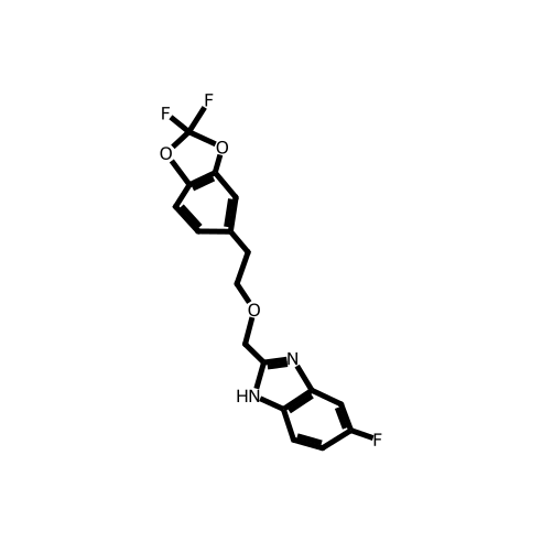 Fc1ccc2[nH]c(COCCc3ccc4c(c3)OC(F)(F)O4)nc2c1